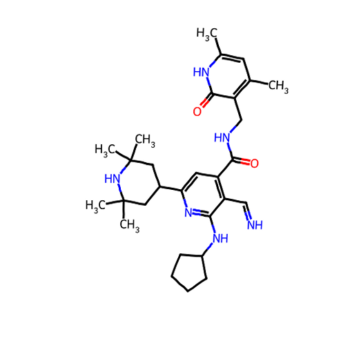 Cc1cc(C)c(CNC(=O)c2cc(C3CC(C)(C)NC(C)(C)C3)nc(NC3CCCC3)c2C=N)c(=O)[nH]1